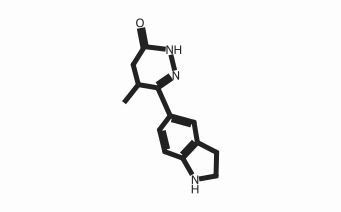 CC1CC(=O)NN=C1c1ccc2c(c1)CCN2